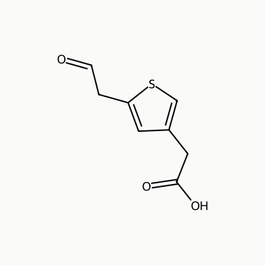 O=CCc1cc(CC(=O)O)cs1